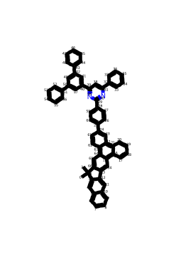 CC1(C)c2cc3ccccc3cc2-c2cc3c4ccccc4c4cc(-c5ccc(-c6nc(-c7ccccc7)cc(-c7cc(-c8ccccc8)cc(-c8ccccc8)c7)n6)cc5)ccc4c3cc21